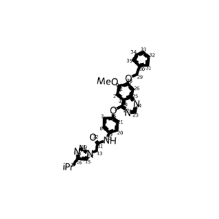 COc1cc2c(Oc3ccc(NC(=O)Cn4cc(C(C)C)nn4)cc3)ncnc2cc1OCc1ccccc1